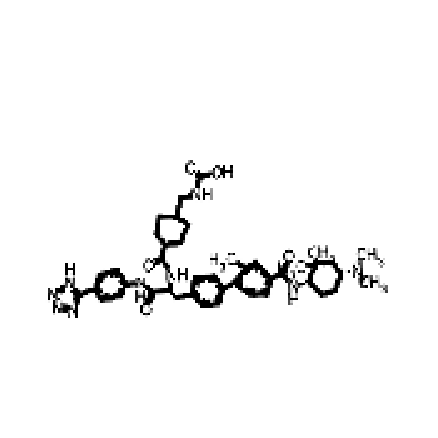 Cc1cc(C(=O)N[C@@H]2CC[C@@H](N(C)C)CC2(C)C)ccc1-c1ccc(C[C@H](NC(=O)C2CCC(CNC(=O)O)CC2)C(=O)Nc2ccc(-c3nnn[nH]3)cc2)cc1